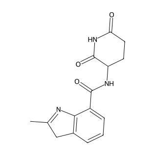 CC1=Nc2c(cccc2C(=O)NC2CCC(=O)NC2=O)C1